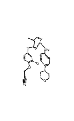 Cc1cnc(Nc2ccc(N3CCOCC3)cc2)nc1Sc1ccc(OCC#N)c(Cl)c1